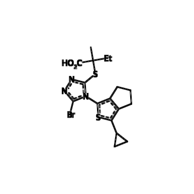 CCC(C)(Sc1nnc(Br)n1-c1sc(C2CC2)c2c1CCC2)C(=O)O